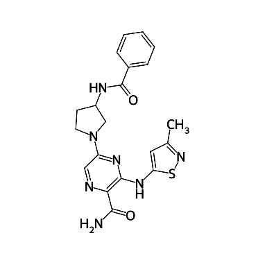 Cc1cc(Nc2nc(N3CCC(NC(=O)c4ccccc4)C3)cnc2C(N)=O)sn1